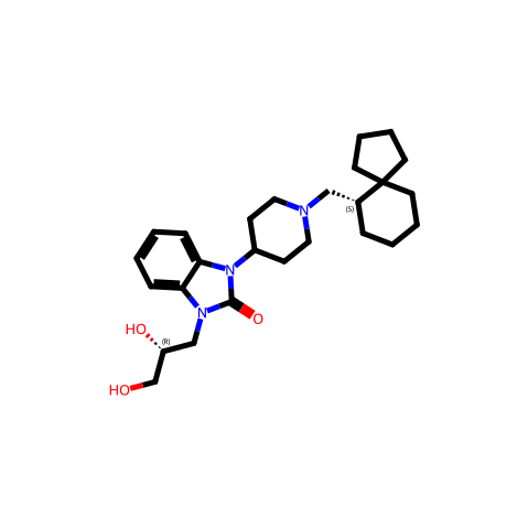 O=c1n(C[C@@H](O)CO)c2ccccc2n1C1CCN(C[C@H]2CCCCC23CCCC3)CC1